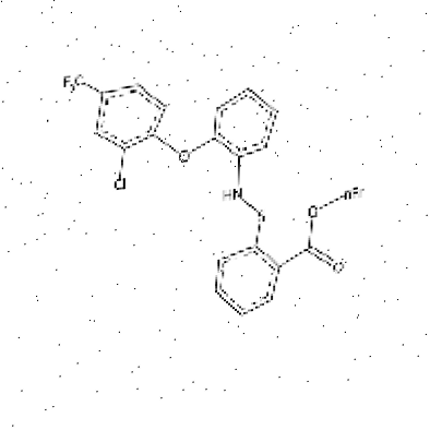 CCCOC(=O)c1ccccc1SNc1ccccc1Oc1ccc(C(F)(F)F)cc1Cl